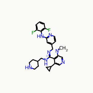 C=Nc1cncc(C2CC2)c1/C(=N\Cc1ccnc(Nc2c(F)cccc2F)c1)NCC1CCNCC1